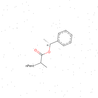 CCCCCC(C)C(=O)O[C@H](C)c1ccccc1